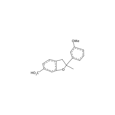 COc1cccc(C2(C)Cc3ccc(C(=O)O)cc3O2)c1